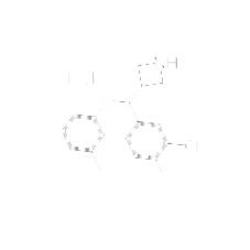 Cc1cccc(OC(c2ccc(F)c(Cl)c2)C2CNC2)c1.Cl